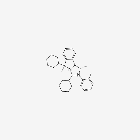 Cc1ccccc1N1C(C2CCCCC2)N2C(c3ccccc3C2(C)C2CCCCC2)[C@@H]1C